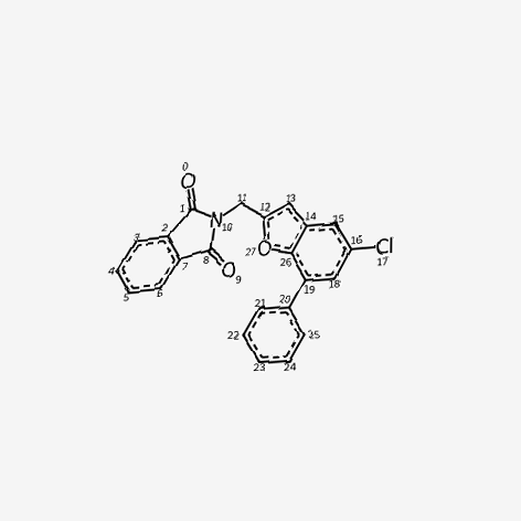 O=C1c2ccccc2C(=O)N1Cc1cc2cc(Cl)cc(-c3ccccc3)c2o1